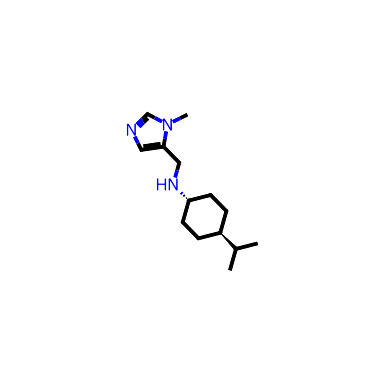 CC(C)[C@H]1CC[C@H](NCc2cncn2C)CC1